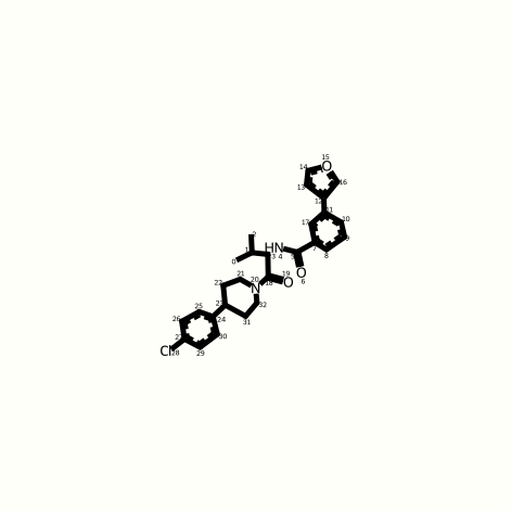 CC(C)[C@@H](NC(=O)c1cccc(-c2ccoc2)c1)C(=O)N1CCC(c2ccc(Cl)cc2)CC1